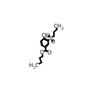 CCCCOC(=O)c1ccc(Cl)c(S(=O)(=O)CCCC)c1